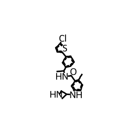 Cc1ccc(NC2CNC2)cc1C(=O)NC(C)c1cccc(-c2ccc(Cl)s2)c1